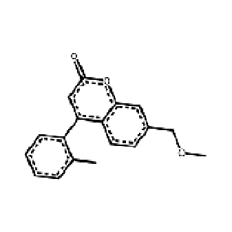 COCc1ccc2c(-c3ccccc3C)cc(=O)oc2c1